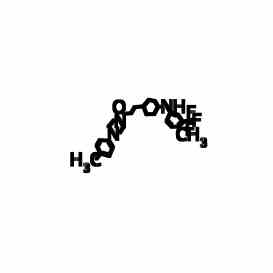 Cc1ccc(N2CCN(C(=O)CCC3CCC(Nc4ccc(C)c(C(F)(F)F)c4)CC3)CC2)cc1